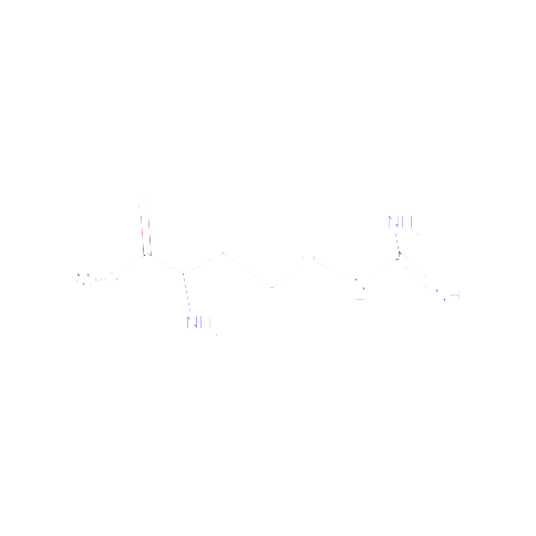 COC(=O)C(N)CCONC(=N)N